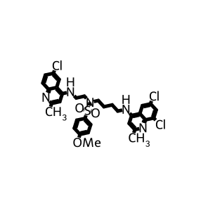 COc1ccc(S(=O)(=O)N(CCCCNc2cc(C)nc3c(Cl)cc(Cl)cc23)CCNc2cc(C)nc3ccc(Cl)cc23)cc1